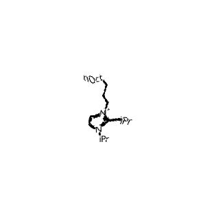 CCCCCCCCCCC[n+]1ccn(C(C)C)c1C(C)C